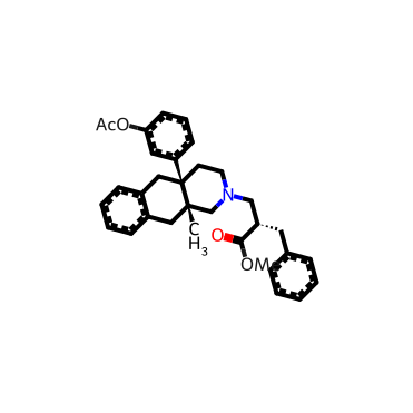 COC(=O)[C@@H](Cc1ccccc1)CN1CC[C@@]2(c3cccc(OC(C)=O)c3)Cc3ccccc3C[C@@]2(C)C1